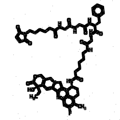 CC[C@@]1(O)C(=O)OCC2=C1C=C1c3nc4cc(F)c(C)c5c4c(c3CN1C2)[C@@H](NC(=O)CCCCCNC(=O)CNC(=O)[C@H](Cc1ccccc1)NC(=O)CNC(=O)CNC(=O)CCCCCN1C(=O)C=CC1=O)CC5